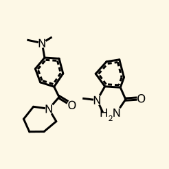 CN(C)c1ccc(C(=O)N2CCCCC2)cc1.CN(C)c1ccccc1C(N)=O